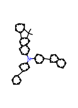 CC1(C)c2ccccc2-c2cc3ccc(N(c4ccc(-c5ccccc5)cc4)c4ccc(-c5ccc6ccccc6c5)cc4)cc3cc21